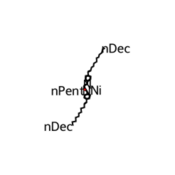 CCCCCCCCCCCCCCCCCCCC=Cc1ccc(N=CC(CCCCC)=Nc2ccc(C=CCCCCCCCCCCCCCCCCCCC)cc2)cc1.[Ni]